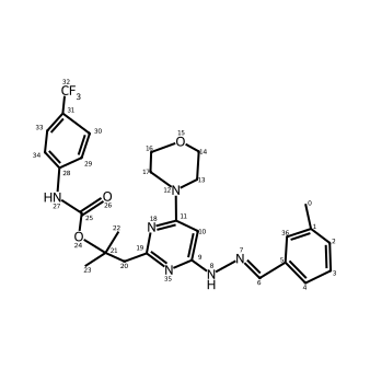 Cc1cccc(C=NNc2cc(N3CCOCC3)nc(CC(C)(C)OC(=O)Nc3ccc(C(F)(F)F)cc3)n2)c1